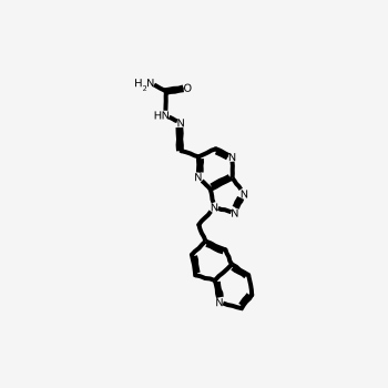 NC(=O)NN=Cc1cnc2nnn(Cc3ccc4ncccc4c3)c2n1